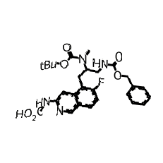 CN(C(=O)OC(C)(C)C)C(CNC(=O)OCc1ccccc1)Cc1c(F)ccc2cnc(NC(=O)O)cc12